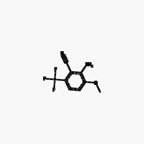 COc1ccc(C(F)(F)F)c(C#N)c1N